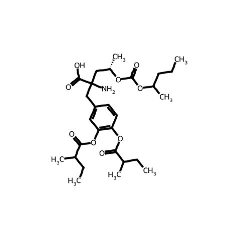 CCCC(C)OC(=O)O[C@@H](C)CC(N)(Cc1ccc(OC(=O)C(C)CC)c(OC(=O)C(C)CC)c1)C(=O)O